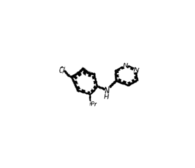 CC(C)c1cc(Cl)ccc1Nc1ccnnc1